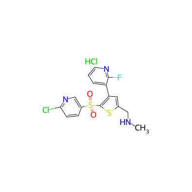 CNCc1cc(-c2cccnc2F)c(S(=O)(=O)c2ccc(Cl)nc2)s1.Cl